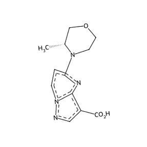 C[C@@H]1COCCN1c1ccn2ncc(C(=O)O)c2n1